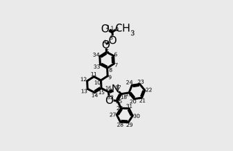 CC(=O)OOc1ccc(CC2CCCC=C2c2nc(-c3ccccc3)c(-c3ccccc3)o2)cc1